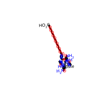 CCn1nc(C)cc1C(=O)/N=c1\[nH]c2cc(C(N)=O)cc(OC)c2n1C/C=C/Cn1/c(=N/C(=O)c2cc(C)nn2CC)[nH]c2cc(C(N)=O)cc(OCCCN3CCN(C(=O)CCOCCOCCOCCOCCOCCOCCOCCOCCOCCOCCC(=O)O)CC3)c21